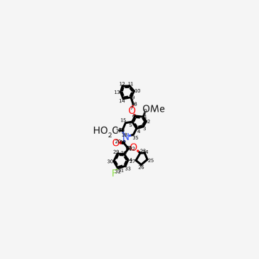 COc1ccc2c(c1OCc1ccccc1)C[C@H](C(=O)O)N(C(=O)[C@H](OC1CCCC1)c1ccc(F)cc1)C2